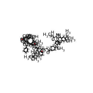 CCNC(=O)c1nnc(-c2cc(C(C)C)c(O)cc2O)n1-c1ccc(N(C)C2CCN(C(=O)CSCC(=O)O[C@@H](C(=O)O[C@H]3C[C@]4(O)C(C)(C)C(=C3C)[C@@H](O)C(=O)[C@]3(C)[C@@H](O)C[C@H]5OC[C@@]5(OC(C)=O)[C@]35C[C@]54OC(=O)c3ccccc3)[C@@H](NC(=O)OC(C)(C)C)c3ccccc3)CC2)nc1